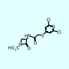 O=C(CSc1cc(Cl)nc(Cl)c1)NC1CN(S(=O)(=O)O)C1=O